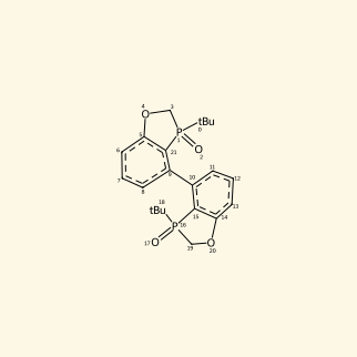 CC(C)(C)P1(=O)COc2cccc(-c3cccc4c3P(=O)(C(C)(C)C)CO4)c21